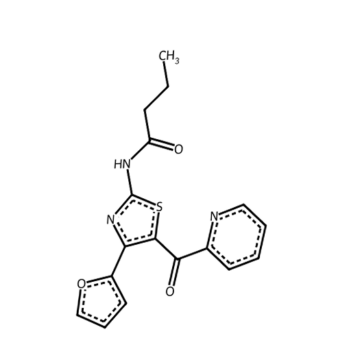 CCCC(=O)Nc1nc(-c2ccco2)c(C(=O)c2ccccn2)s1